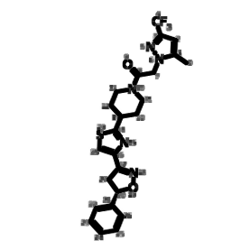 Cc1cc(C(F)(F)F)nn1CC(=O)N1CCC(c2nc(C3=NO[C@@H](c4ccccc4)C3)cs2)CC1